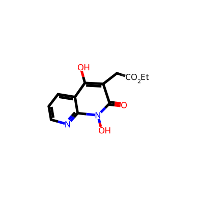 CCOC(=O)Cc1c(O)c2cccnc2n(O)c1=O